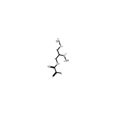 C=C(C)C(=O)OCC(CSN=O)OS